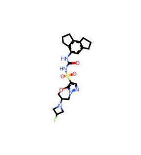 O=C(Nc1cc2c(c3c1CCC3)CCC2)NS(=O)(=O)c1cnn2c1OCC(N1CC(F)C1)C2